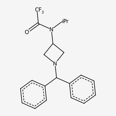 CC(C)N(C(=O)C(F)(F)F)C1CN(C(c2ccccc2)c2ccccc2)C1